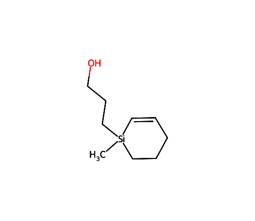 C[Si]1(CCCO)C=CCCC1